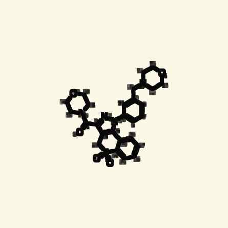 O=C(c1nn(-c2cccc(CN3CCOCC3)c2)c2c1CS(=O)(=O)c1ccccc1-2)N1CCOCC1